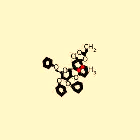 C=CC(=O)Oc1c(C)cc([C@H]2O[C@H](COc3ccccc3)[C@@H](Oc3ccccc3)[C@H](Oc3ccccc3)[C@@H]2Oc2ccccc2)cc1Cl